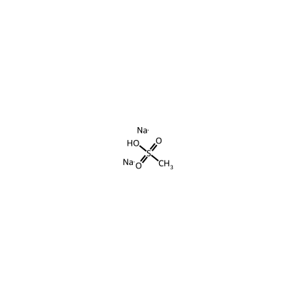 CS(=O)(=O)O.[Na].[Na]